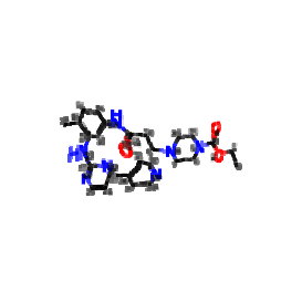 CCOC(=O)N1CCN(CCC(=O)Nc2ccc(C)c(Nc3nccc(-c4ccncc4)n3)c2)CC1